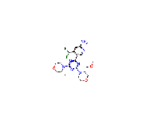 COC[C@@H]1COCCN1c1nc(-c2cnc(N)cc2C(F)F)nc(N2CCOC[C@H]2C)n1